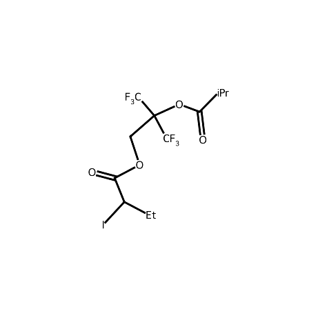 CCC(I)C(=O)OCC(OC(=O)C(C)C)(C(F)(F)F)C(F)(F)F